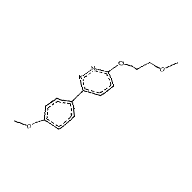 COCCOc1ccc(-c2ccc(OC)cc2)nn1